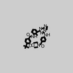 Cc1c(NC(=O)c2ccc3c(c2)OCC3(C)C)cccc1-c1nc(Nc2ccc(C(=O)N3CCOCC3)cc2)n2ccnc2n1